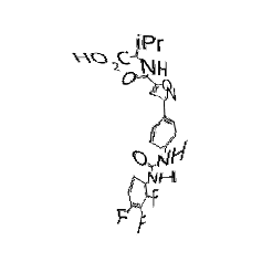 CC(C)C(NC(=O)c1cc(-c2ccc(NC(=O)Nc3ccc(F)c(F)c3F)cc2)no1)C(=O)O